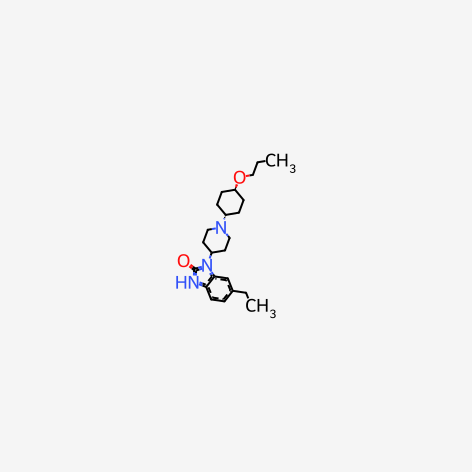 CCCO[C@H]1CC[C@H](N2CCC(n3c(=O)[nH]c4ccc(CC)cc43)CC2)CC1